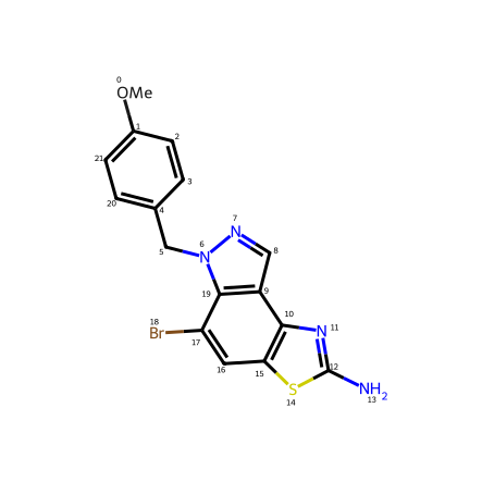 COc1ccc(Cn2ncc3c4nc(N)sc4cc(Br)c32)cc1